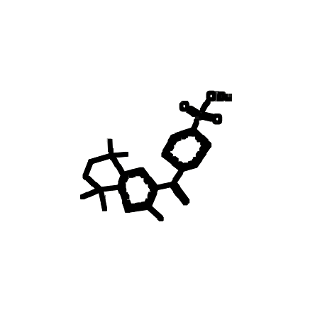 C=C(c1ccc(S(=O)(=O)OCC(C)C)cc1)c1cc2c(cc1C)C(C)(C)CCC2(C)C